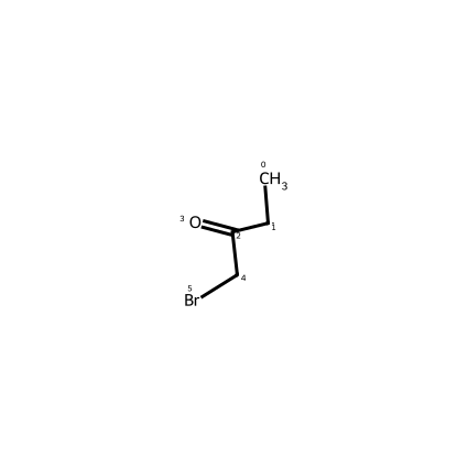 C[CH]C(=O)CBr